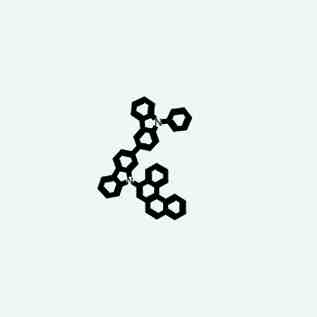 c1ccc(-n2c3ccccc3c3cc(-c4ccc5c6ccccc6n(-c6cc7ccc8ccccc8c7c7ccccc67)c5c4)ccc32)cc1